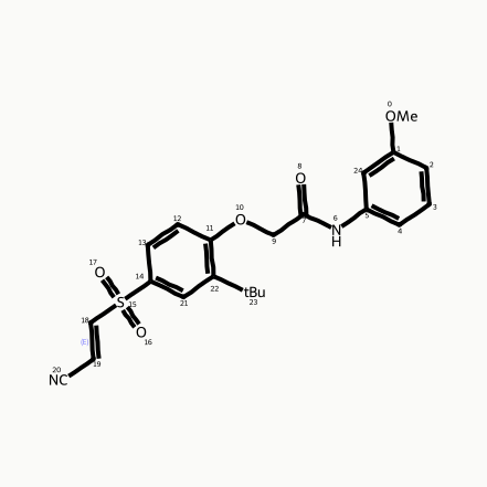 COc1cccc(NC(=O)COc2ccc(S(=O)(=O)/C=C/C#N)cc2C(C)(C)C)c1